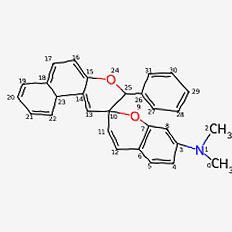 CN(C)c1ccc2c(c1)OC1(C=C2)C=C2C(=CC=C3C=CC=CC32)OC1c1ccccc1